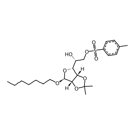 CCCCCCCO[C@H]1O[C@H]([C@H](O)COS(=O)(=O)c2ccc(C)cc2)[C@@H]2OC(C)(C)O[C@H]12